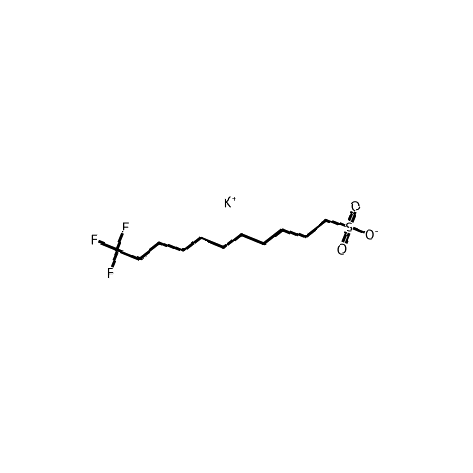 O=S(=O)([O-])CCCCCCCCCCC(F)(F)F.[K+]